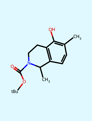 Cc1ccc2c(c1O)CCN(C(=O)OC(C)(C)C)C2C